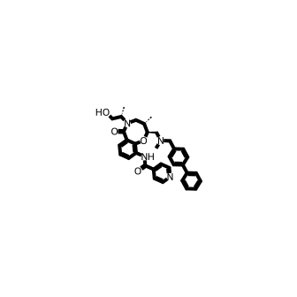 C[C@H]1CN([C@@H](C)CO)C(=O)c2cccc(NC(=O)c3ccncc3)c2O[C@@H]1CN(C)Cc1ccc(-c2ccccc2)cc1